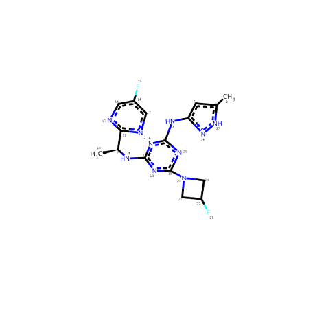 Cc1cc(Nc2nc(N[C@@H](C)c3ncc(F)cn3)nc(N3CC(F)C3)n2)n[nH]1